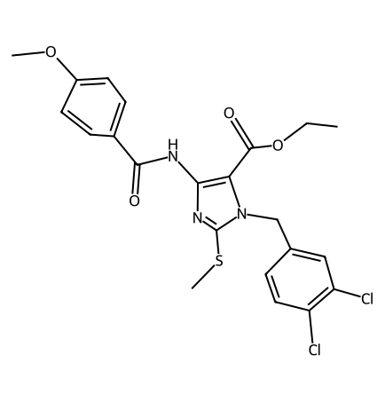 CCOC(=O)c1c(NC(=O)c2ccc(OC)cc2)nc(SC)n1Cc1ccc(Cl)c(Cl)c1